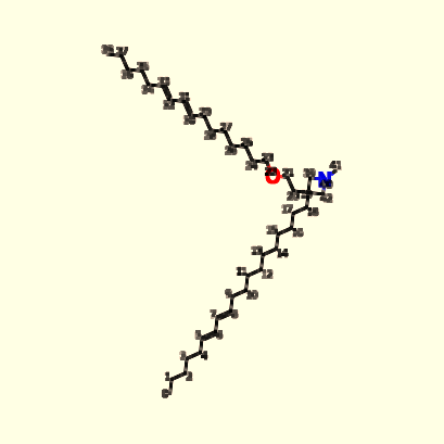 CCCCC/C=C/C=C/CCCCCCCCCCC1(CCOCCCCCCC/C=C/C=C/CCCCC)CN(C)C1